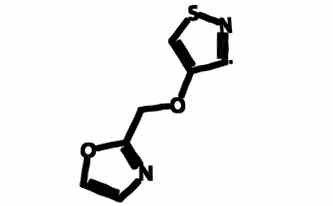 [c]1nscc1OCc1ncco1